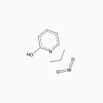 CCC.Oc1ccccn1.[O]=[W]=[O]